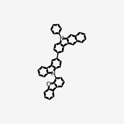 c1ccc(-n2c3ccc(-c4ccc5c(c4)c4ccccc4n5-c4cccc5c4oc4ccccc45)cc3c3cc4ccccc4cc32)cc1